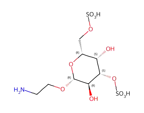 NCCO[C@@H]1O[C@H](COS(=O)(=O)O)[C@H](O)[C@H](OS(=O)(=O)O)[C@H]1O